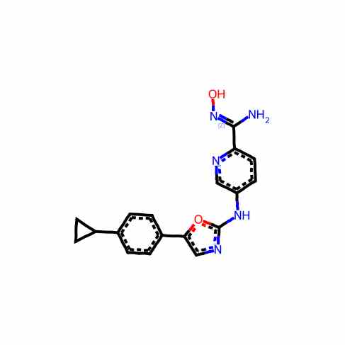 N/C(=N\O)c1ccc(Nc2ncc(-c3ccc(C4CC4)cc3)o2)cn1